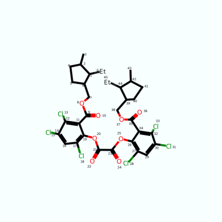 CCC1C(C)CCC1COC(=O)c1c(Cl)c(Cl)cc(Cl)c1OC(=O)C(=O)Oc1c(Cl)cc(Cl)c(Cl)c1C(=O)OCC1CCC(C)C1CC